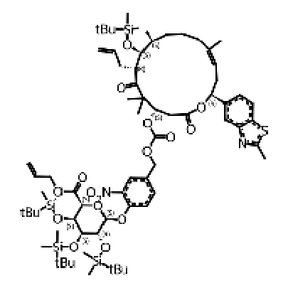 C=CCOC(=O)[C@H]1O[C@@H](Oc2ccc(COC(=O)O[C@H]3CC(=O)O[C@H](c4ccc5sc(C)nc5c4)CC=C(C)CCC[C@H](C)[C@H](O[Si](C)(C)C(C)(C)C)[C@@H](CC=C)C(=O)C3(C)C)cc2[N+](=O)[O-])[C@H](O[Si](C)(C)C(C)(C)C)[C@@H](O[Si](C)(C)C(C)(C)C)[C@H]1O[Si](C)(C)C(C)(C)C